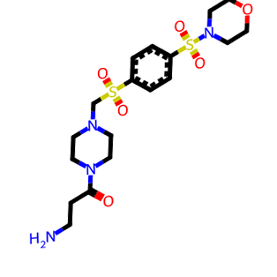 NCCC(=O)N1CCN(CS(=O)(=O)c2ccc(S(=O)(=O)N3CCOCC3)cc2)CC1